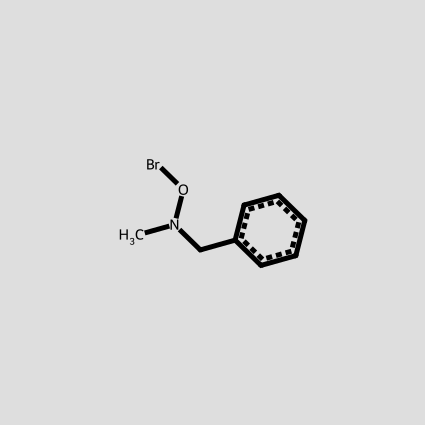 CN(Cc1ccccc1)OBr